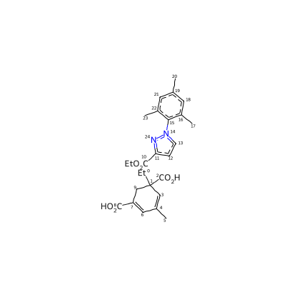 CCC1(C(=O)O)C=C(C)C=C(C(=O)O)C1.CCOC(=O)c1ccn(-c2c(C)cc(C)cc2C)n1